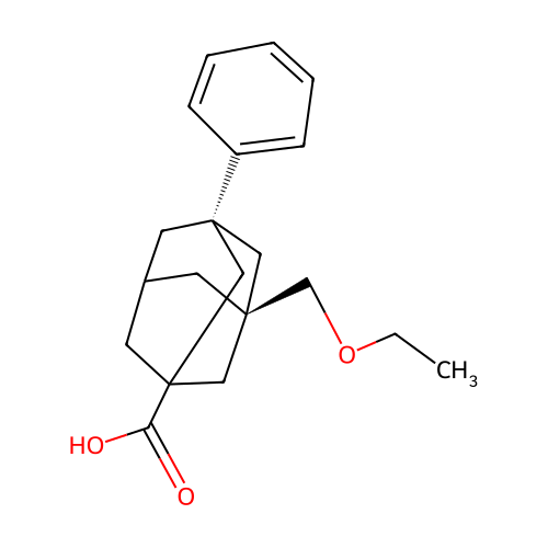 CCOC[C@]12CC3CC(C(=O)O)(C1)C[C@@](c1ccccc1)(C3)C2